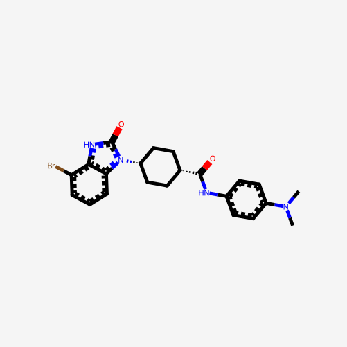 CN(C)c1ccc(NC(=O)[C@H]2CC[C@@H](n3c(=O)[nH]c4c(Br)cccc43)CC2)cc1